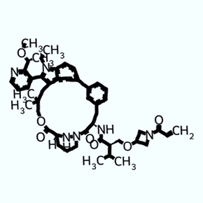 C=CC(=O)N1CC(OC[C@H](C(=O)N[C@H]2Cc3cccc(c3)-c3ccc4c(c3)c(c(-c3cccnc3[C@H](C)OC)n4CC)CC(C)(C)COC(=O)[C@@H]3CCCN(N3)C2=O)C(C)C)C1